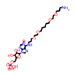 NCCCOCCOCCCCCOCCOCCCNc1c2ncn(C3OC(COP(=O)(O)O)C(O)C3O)c2nc[n+]1[O-]